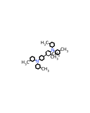 Cc1cccc(N(C2=CC=C(c3ccc(N(c4cccc(C)c4)c4cccc(C)c4)cc3)CC2(C)C)c2cccc(C)c2)c1